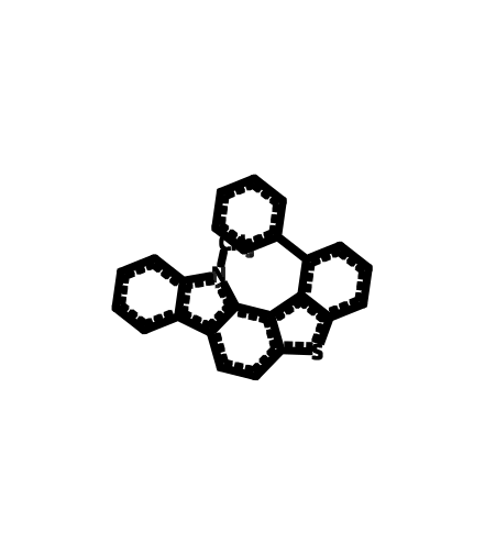 Cn1c2ccccc2c2ccc3sc4cccc(-c5ccccc5)c4c3c21